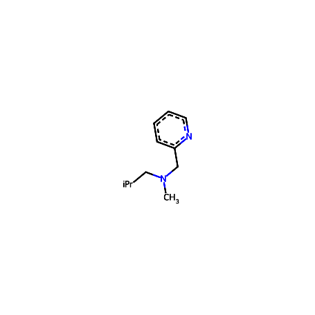 CC(C)CN(C)Cc1ccccn1